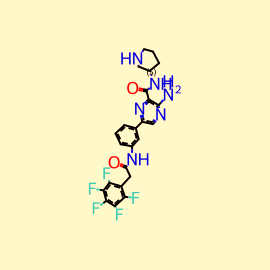 Nc1ncc(-c2cccc(NC(=O)Cc3c(F)c(F)c(F)c(F)c3F)c2)nc1C(=O)N[C@H]1CCCNC1